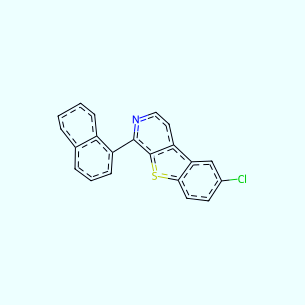 Clc1ccc2sc3c(-c4cccc5ccccc45)nccc3c2c1